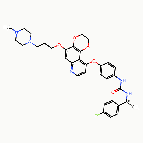 C[C@@H](NC(=O)Nc1ccc(Oc2ccnc3cc(OCCCN4CCN(C)CC4)c4c(c23)OCCO4)cc1)c1ccc(F)cc1